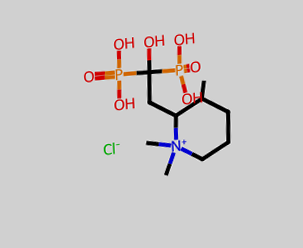 CC1CCC[N+](C)(C)C1CC(O)(P(=O)(O)O)P(=O)(O)O.[Cl-]